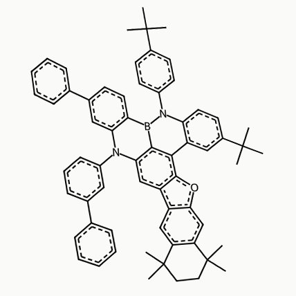 CC(C)(C)c1ccc(N2B3c4ccc(-c5ccccc5)cc4N(c4cccc(-c5ccccc5)c4)c4cc5c(oc6cc7c(cc65)C(C)(C)CCC7(C)C)c(c43)-c3cc(C(C)(C)C)ccc32)cc1